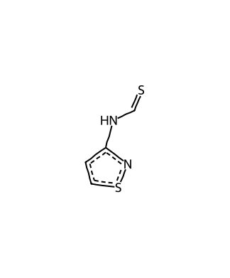 S=CNc1ccsn1